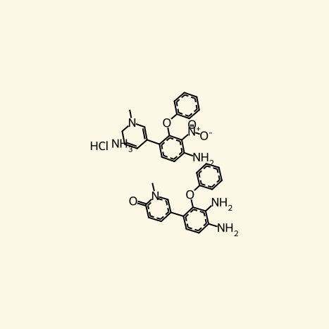 CN1C=C(c2ccc(N)c([N+](=O)[O-])c2Oc2ccccc2)C=CC1.Cl.Cn1cc(-c2ccc(N)c(N)c2Oc2ccccc2)ccc1=O.N